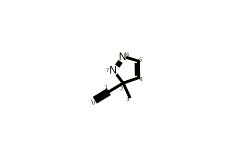 [C]#CC1(C)C=CN=N1